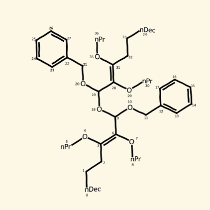 CCCCCCCCCCCCC(OCCC)=C(OCCC)C(OCc1ccccc1)OC(OCc1ccccc1)C(OCCC)=C(CCCCCCCCCCCC)OCCC